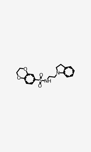 O=S(=O)(NCCN1CCc2ccccc21)c1ccc2c(c1)OCCO2